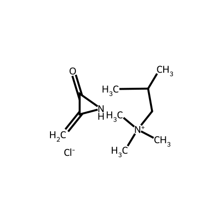 C=C1NC1=O.CC(C)C[N+](C)(C)C.[Cl-]